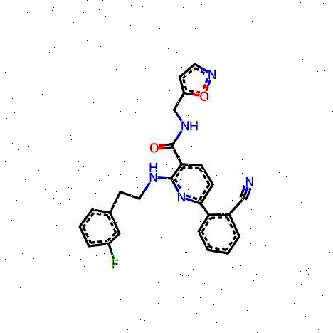 N#Cc1ccccc1-c1ccc(C(=O)NCc2ccno2)c(NCCc2cccc(F)c2)n1